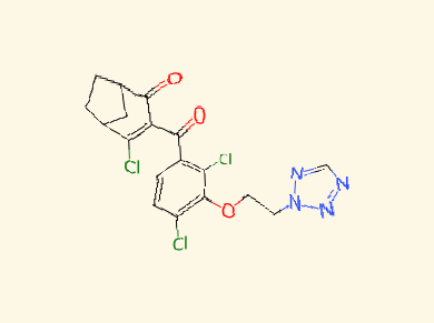 O=C(C1=C(Cl)C2CCC(C2)C1=O)c1ccc(Cl)c(OCCn2ncnn2)c1Cl